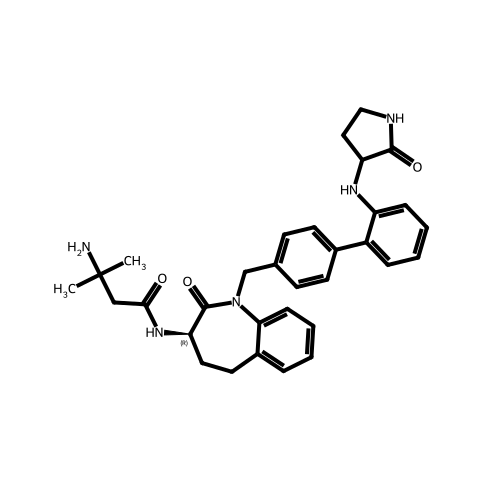 CC(C)(N)CC(=O)N[C@@H]1CCc2ccccc2N(Cc2ccc(-c3ccccc3NC3CCNC3=O)cc2)C1=O